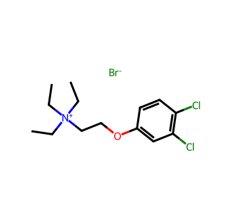 CC[N+](CC)(CC)CCOc1ccc(Cl)c(Cl)c1.[Br-]